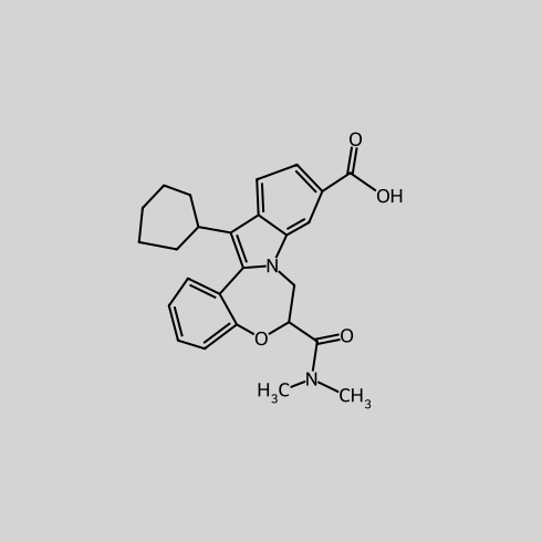 CN(C)C(=O)C1Cn2c(c(C3CCCCC3)c3ccc(C(=O)O)cc32)-c2ccccc2O1